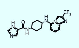 O=C(N[C@H]1CC[C@@H](Nc2cccc3nc(C(F)(F)F)cn23)CC1)c1cnc[nH]1